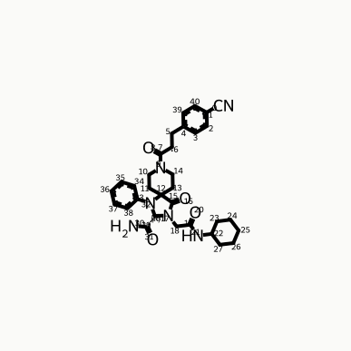 N#Cc1ccc(C[CH]C(=O)N2CCC3(CC2)C(=O)N(CC(=O)NC2CCCCC2)[C@H](C(N)=O)N3c2ccccc2)cc1